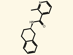 Cc1ncccc1C(=O)N[C@@H]1CCc2ccccc2C1